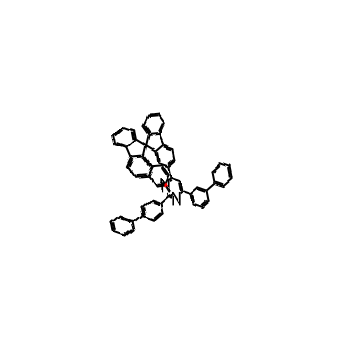 c1ccc(-c2ccc(-c3nc(-c4cccc(-c5ccccc5)c4)cc(-c4ccc5c(c4)C4(c6ccccc6-5)c5ccccc5-c5ccc6ccccc6c54)n3)cc2)cc1